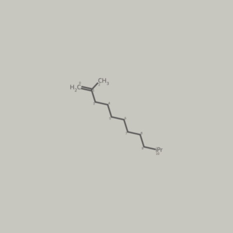 C=C(C)CCCCCCCC(C)C